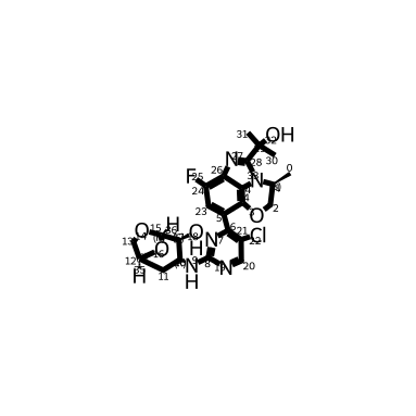 C[C@H]1COc2c(-c3nc(N[C@@H]4C[C@H]5CO[C@H](O5)[C@H]4O)ncc3Cl)cc(F)c3nc(C(C)(C)O)n1c23